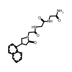 NC(=O)CNC(=O)CNC(=O)CN1CC(c2cccc3ccccc23)CC1=O